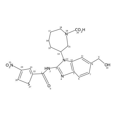 O=C(Nc1nc2ccc(CO)cc2n1C1CCCCN(C(=O)O)C1)c1cc([N+](=O)[O-])cs1